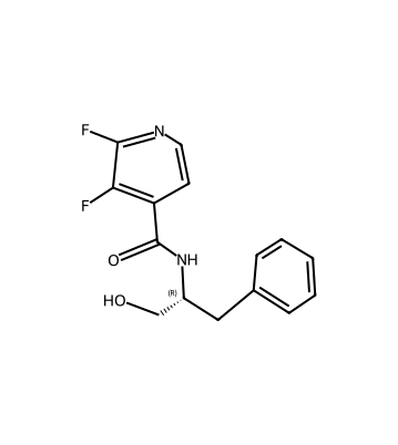 O=C(N[C@@H](CO)Cc1ccccc1)c1ccnc(F)c1F